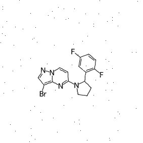 Fc1ccc(F)c(C2CCCN2c2ccn3ncc(Br)c3n2)c1